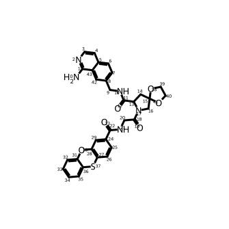 Nc1nccc2ccc(CNC(=O)C3CC4(CN3C(=O)CNC(=O)c3ccc5c(c3)Oc3ccccc3S5)OCCO4)cc12